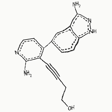 Nc1nccc(-c2ccc3[nH]nc(N)c3c2)c1C#CCCO